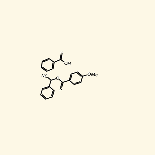 COc1ccc(C(=S)OC(C#N)c2ccccc2)cc1.OC(=S)c1ccccc1